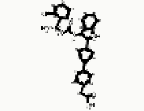 C[C@@H](OC(=O)Nc1c(-c2ccc(-c3ccc(CC(=O)O)cc3)cc2)[nH]c2ccccc12)c1ccccc1Cl